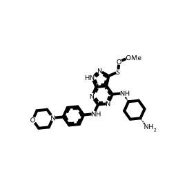 COOSc1n[nH]c2nc(Nc3ccc(N4CCOCC4)cc3)nc(N[C@H]3CC[C@@H](N)CC3)c12